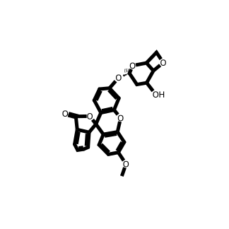 COc1ccc2c(c1)Oc1cc(O[C@H]3CC(O)C4OCC4O3)ccc1C21OC(=O)c2ccccc21